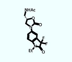 CCN1C(=O)C(F)(F)c2cc(N3C[C@H](CNC(C)=O)OC3=O)ccc21